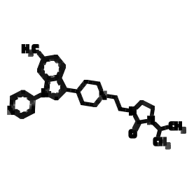 Cc1ccc2c(C3CCN(CCN4CCN(C(C)C)C4=O)CC3)cn(-c3ccncc3)c2c1